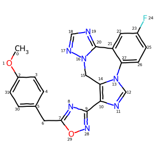 COc1ccc(Cc2nc(-c3ncn4c3Cn3ncnc3-c3cc(F)ccc3-4)no2)cc1